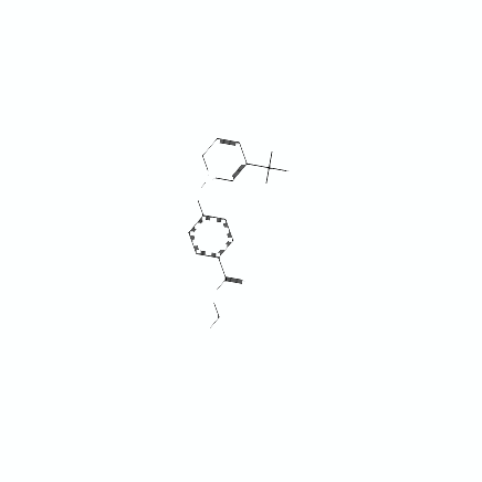 CCOC(=O)c1ccc(ON2C=C(C(F)(F)F)C=CC2)cc1